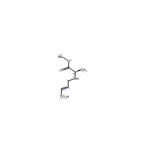 C[C@@H](NC/C=C/C(=O)O)C(=O)OC(C)(C)C